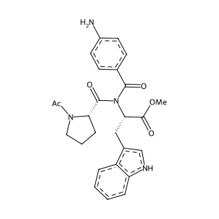 COC(=O)[C@H](Cc1c[nH]c2ccccc12)N(C(=O)c1ccc(N)cc1)C(=O)[C@@H]1CCCN1C(C)=O